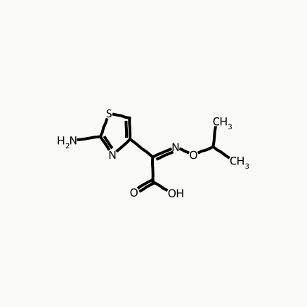 CC(C)ON=C(C(=O)O)c1csc(N)n1